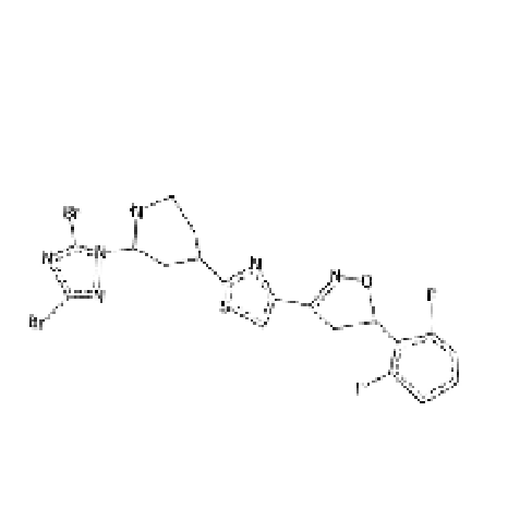 Fc1cccc(F)c1C1CC(c2csc(C3CC[N]C(n4nc(Br)nc4Br)C3)n2)=NO1